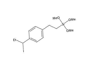 CCC(I)c1ccc(CC[Si](OC)(OC)OC)cc1